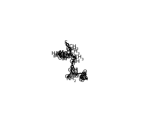 CC[C@H](C)[C@@H]([C@@H](CC(=O)N1C[C@@H](OC(=O)N(C)CCNC(=O)OCc2ccc(NC(=O)[C@H](CCCNC(N)=O)NC(=O)[C@@H](NC(=O)CCCCCN3C(=O)CC(SCC4(CC(=O)ON5C(=O)CCC5=O)CC4)C3=O)C(C)C)cc2)C[C@H]1[C@H](OC)[C@@H](C)C(=O)N[C@@H](C)C(=O)c1ccc(F)cc1)OC)N(C)C(=O)[C@@H](NC(=O)[C@H](C(C)C)N(C)C)C(C)C